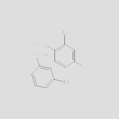 Nc1cc(Cl)ccc1C(=O)O.Nc1cccc(C(=O)O)c1